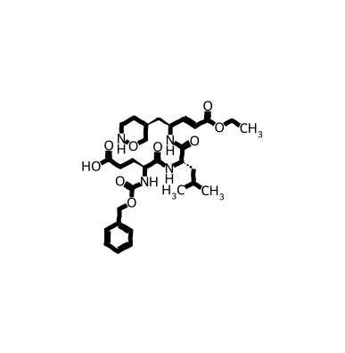 CCOC(=O)/C=C/[C@H](C[C@@H]1CCNOC1)NC(=O)[C@H](CC(C)C)NC(=O)[C@H](CCC(=O)O)NC(=O)OCc1ccccc1